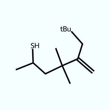 C=C(CC(C)(C)C)C(C)(C)CC(C)S